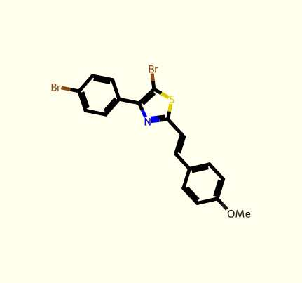 COc1ccc(C=Cc2nc(-c3ccc(Br)cc3)c(Br)s2)cc1